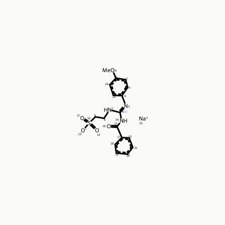 COc1ccc(/N=C(\NCCS(=O)(=O)[O-])NC(=O)c2ccccc2)cc1.[Na+]